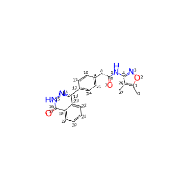 Cc1onc(NC(=O)Cc2ccc(-c3n[nH]c(=O)c4ccccc34)cc2)c1C